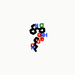 Cc1cc(-c2ccc(S(=O)(=O)Nc3ccc(Cl)c(-c4nccc5ccccc45)c3)o2)on1